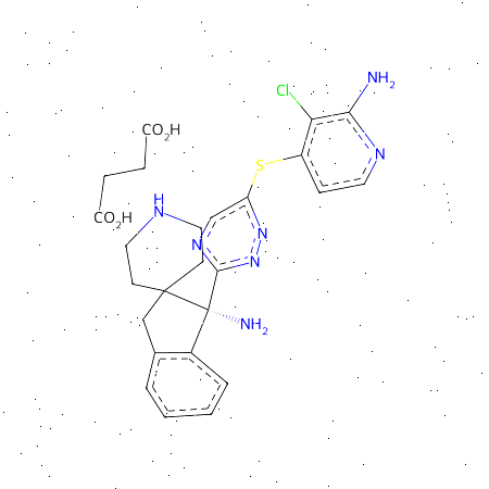 Nc1nccc(Sc2cnc([C@@]3(N)c4ccccc4CC34CCNCC4)nn2)c1Cl.O=C(O)CCC(=O)O